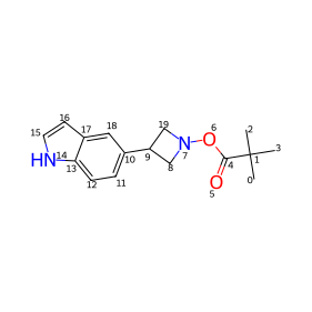 CC(C)(C)C(=O)ON1CC(c2ccc3[nH]ccc3c2)C1